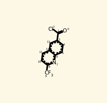 O=C(Cl)c1ccc2nc(C(F)(F)F)ccc2c1